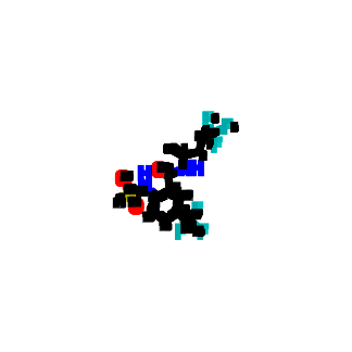 C=C(CCC(F)(F)F)NC(=O)c1cc(C(F)(F)F)ccc1NS(C)(=O)=O